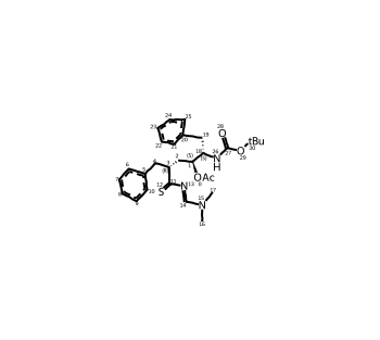 CC(=O)O[C@@H](C[C@@H](Cc1ccccc1)C(=S)N=CN(C)C)[C@H](Cc1ccccc1)NC(=O)OC(C)(C)C